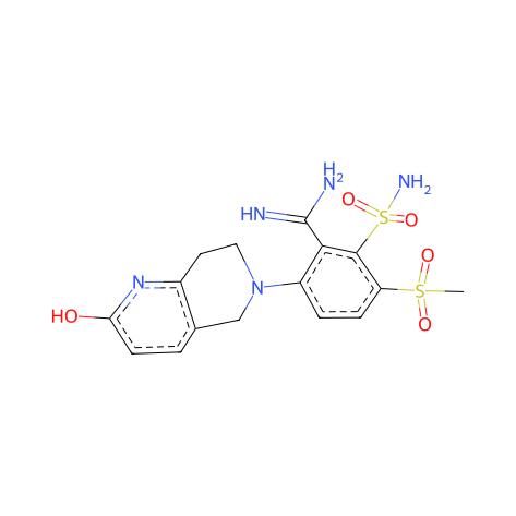 CS(=O)(=O)c1ccc(N2CCc3nc(O)ccc3C2)c(C(=N)N)c1S(N)(=O)=O